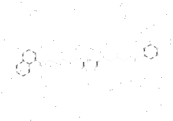 O=C(CCCCCOc1ccccc1)OC(=O)CCCCCOc1cccc2ccccc12